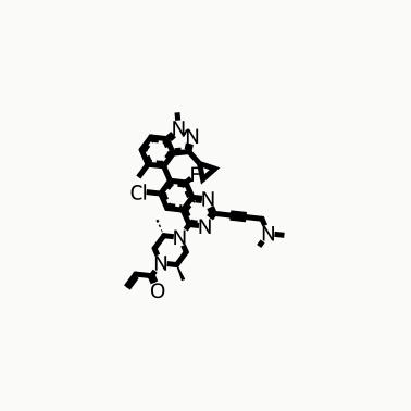 C=CC(=O)N1C[C@H](C)N(c2nc(C#CCN(C)C)nc3c(F)c(-c4c(C)ccc5c4c(C4CC4)nn5C)c(Cl)cc23)C[C@H]1C